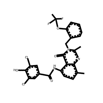 Cc1ccc(NC(=O)c2cc(Cl)c(O)c(Cl)c2)c2c(=O)n(Cc3ccccc3OC(C)(F)F)c(C)nc12